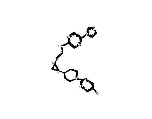 Clc1cnc(N2CCC([C@H]3C[C@H]3CCNc3cnc(-n4cncn4)cn3)CC2)nc1